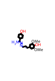 COc1cc(/C=C/C=N\N=C(/N)c2ccc(O)cc2)cc(OC)c1O